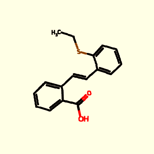 CCSc1ccccc1C=Cc1ccccc1C(=O)O